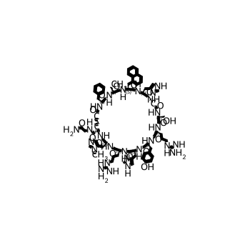 CC[C@@H]1NC(=O)[C@H](Cc2ccccc2)NC(=O)CSC[C@@H](C(=O)NCC(N)=O)NC(=O)[C@H](Cc2cncn2C)NC(=O)[C@H](CCCNC(=N)N)NC(=O)[C@H](Cc2c[nH]cn2)NC(=O)[C@H](Cc2ccc(O)cc2)NC(=O)[C@H](CCCNC(=N)N)NC(=O)[C@H](CO)NC(=O)CNC(=O)[C@H](Cc2c[nH]cn2)NC(=O)[C@H](Cc2cccc3ccccc23)NC1=O